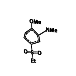 CCS(=O)(=O)c1ccc(OC)c(NC)c1